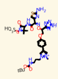 C[n+]1cc(-c2ccc(OCC(O/N=C(\C(=O)NC3C(=O)N(OS(=O)(=O)O)C3(C)C)c3csc(N)n3)c3nn[nH]n3)cc2)cn1CCCNC(=O)OC(C)(C)C